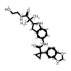 CC(C)(C(=O)NCCO)C1Cc2cc(NC(=O)C3(c4ccc5c(c4)OCO5)CC3)ccc2N1